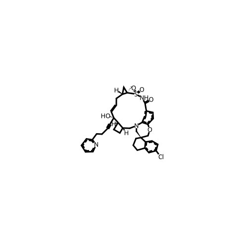 C[C@@]12C[C@H]1C/C=C/[C@](O)(C#CCCc1ccccn1)[C@@H]1CC[C@H]1CN1C[C@@]3(CCCc4cc(Cl)ccc43)COc3ccc(cc31)C(=O)NS2(=O)=O